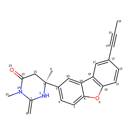 C=C1N[C@](C)(c2ccc3oc4ccc(C#CC)cc4c3c2)CC(=O)N1C